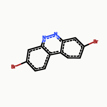 Brc1ccc2c(c1)nnc1cc(Br)ccc12